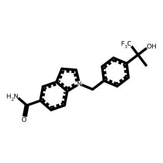 CC(O)(c1ccc(Cn2ccc3cc(C(N)=O)ccc32)cc1)C(F)(F)F